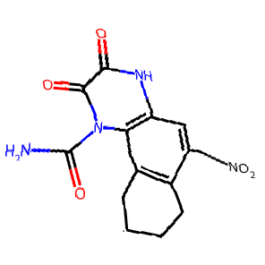 NC(=O)n1c(=O)c(=O)[nH]c2cc([N+](=O)[O-])c3c(c21)C[CH]CC3